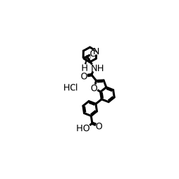 Cl.O=C(O)c1cccc(-c2cccc3cc(C(=O)N[C@H]4CN5CCC4CC5)oc23)c1